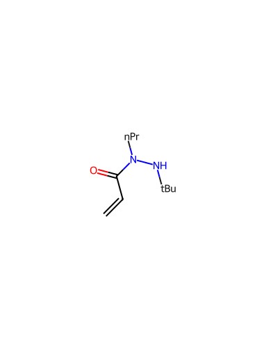 C=CC(=O)N(CCC)NC(C)(C)C